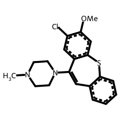 COc1cc2c(cc1Cl)C(N1CCN(C)CC1)=Cc1ccccc1S2